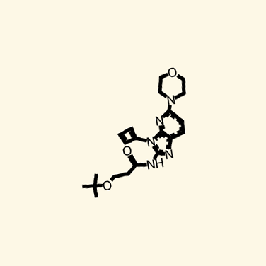 CC(C)(C)OCCC(=O)Nc1nc2ccc(N3CCOCC3)nc2n1C1=CC=C1